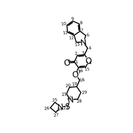 O=c1cc(CN2Cc3ccccc3C2)occ1OCC1CCN(SN2CCC2)CC1